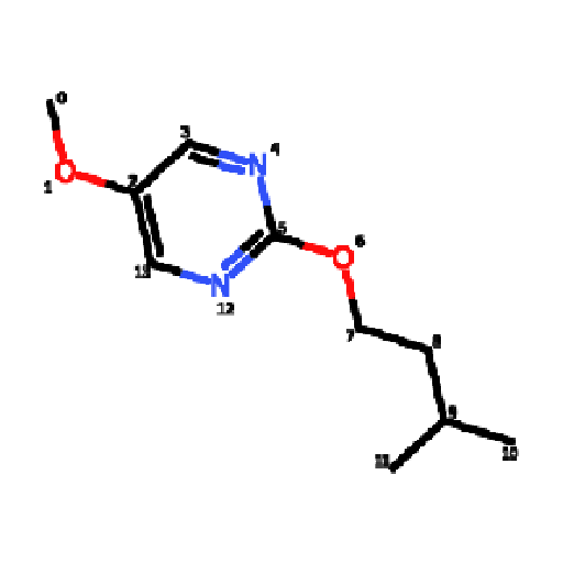 COc1cnc(OCCC(C)C)nc1